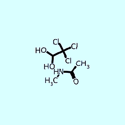 CNC(C)=O.OC(O)C(Cl)(Cl)Cl